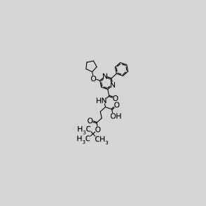 CC(C)(C)OC(=O)CCC(NC(=O)c1cc(OC2CCCC2)nc(-c2ccccc2)n1)C(=O)O